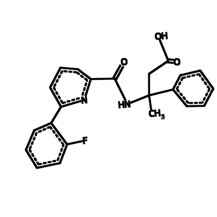 CC(CC(=O)O)(NC(=O)c1cccc(-c2ccccc2F)n1)c1ccccc1